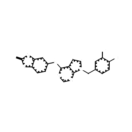 O=c1[nH]c2ccc(Nc3ncnc4c3ccn4Cc3ccc(Cl)c(F)c3)cc2[nH]1